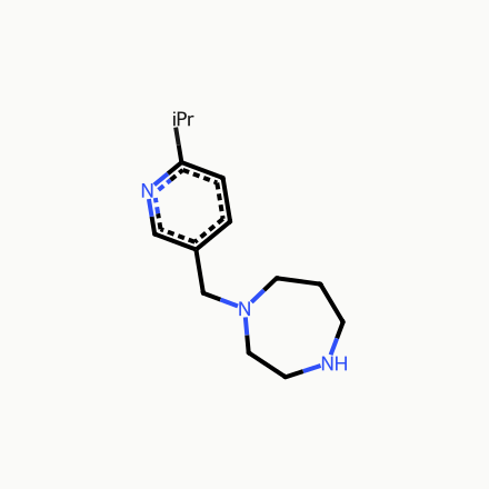 CC(C)c1ccc(CN2CCCNCC2)cn1